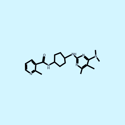 Cc1ncccc1C(=O)NC1CCC(Nc2nc(C)c(C)c(N(C)C)n2)CC1